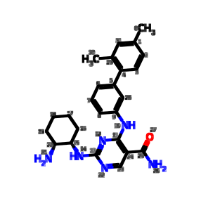 Cc1ccc(-c2cccc(Nc3nc(N[C@@H]4CCCC[C@@H]4N)ncc3C(N)=O)c2)c(C)c1